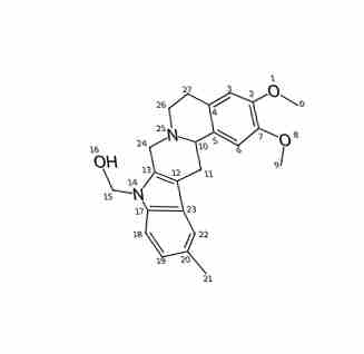 COc1cc2c(cc1OC)C1Cc3c(n(CO)c4ccc(C)cc34)CN1CC2